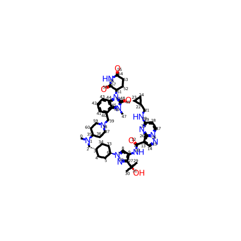 CN(C[C@H]1CC[C@H](n2cc(NC(=O)c3cnn4ccc(NCC5CC5)nc34)c(C(C)(C)O)n2)CC1)C1CCN(Cc2cccc3c2n(C)c(=O)n3C2CCC(=O)NC2=O)CC1